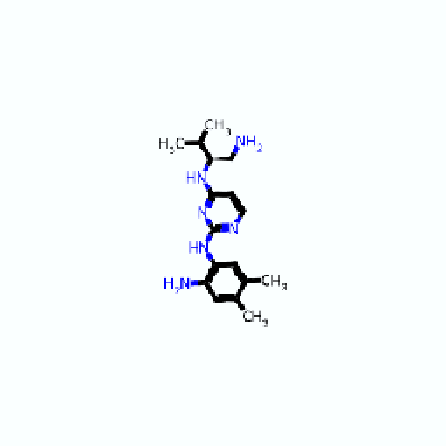 Cc1cc(N)c(Nc2nccc(N[C@H](CN)C(C)C)n2)cc1C